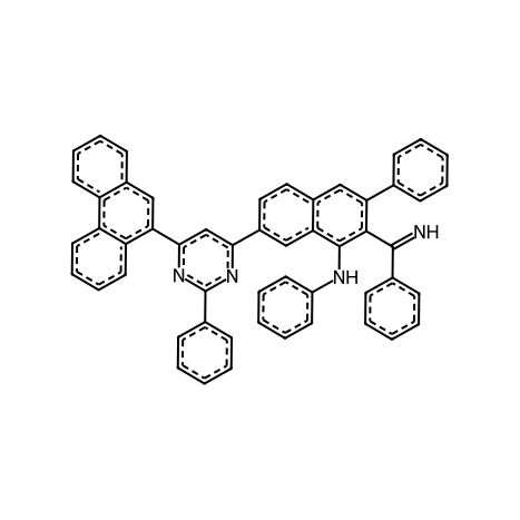 N=C(c1ccccc1)c1c(-c2ccccc2)cc2ccc(-c3cc(-c4cc5ccccc5c5ccccc45)nc(-c4ccccc4)n3)cc2c1Nc1ccccc1